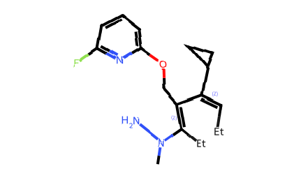 CC/C=C(\C(COc1cccc(F)n1)=C(/CC)N(C)N)C1CC1